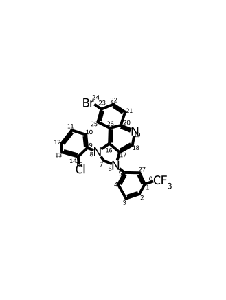 FC(F)(F)c1cccc(N2CN(c3ccccc3Cl)c3c2cnc2ccc(Br)cc32)c1